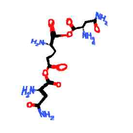 NC(=O)C[C@H](N)C(=O)OC(=O)CC[C@H](N)C(=O)OC(=O)[C@@H](N)CC(N)=O